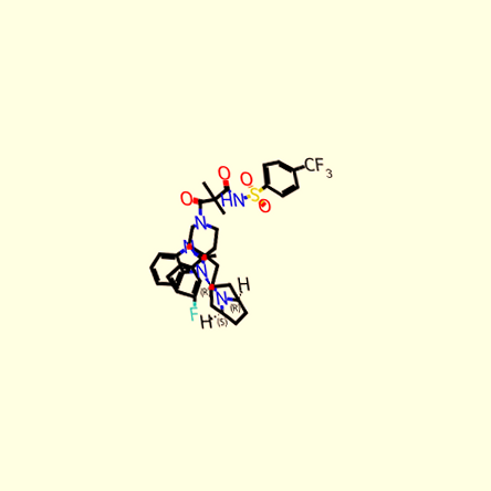 Cc1nc2ccccc2n1[C@H]1C[C@H]2CC[C@@H](C1)N2CCC1(c2cccc(F)c2)CCN(C(=O)C(C)(C)C(=O)NS(=O)(=O)c2ccc(C(F)(F)F)cc2)CC1